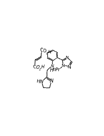 CCCn1ncnc1-c1ccccc1NCC1=NCCN1.O=C(O)/C=C/C(=O)O